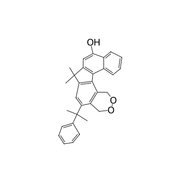 CC(C)(c1ccccc1)c1cc2c(c3c1COOC3)-c1c(cc(O)c3ccccc13)C2(C)C